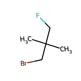 CC(C)(CF)CBr